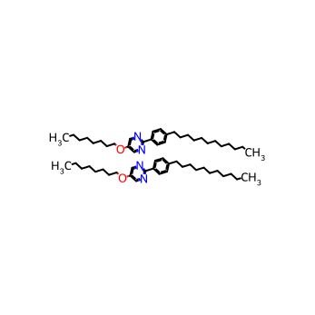 CCCCCCCCCCCCc1ccc(-c2ncc(OCCCCCCCC)cn2)cc1.CCCCCCCCCCCc1ccc(-c2ncc(OCCCCCCCC)cn2)cc1